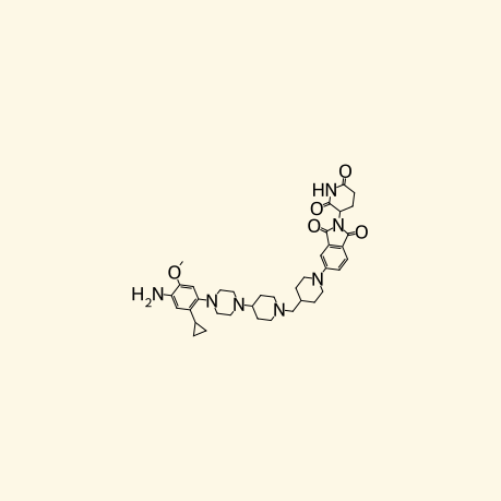 COc1cc(N2CCN(C3CCN(CC4CCN(c5ccc6c(c5)C(=O)N(C5CCC(=O)NC5=O)C6=O)CC4)CC3)CC2)c(C2CC2)cc1N